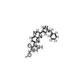 COCNC(=O)N(S)c1ccc2ncc(-c3cnn(Cc4ccccc4)c3)nc2n1